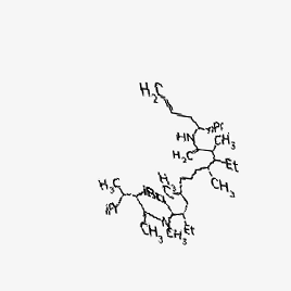 C=CCC(CCC)NC(=C)C(C)C(CC)C(C)CCCC(C)CC(CC)C(C(C)CC)N(C)C(C)C(C(C)C)C(C)C(C)C